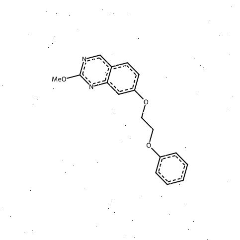 COc1ncc2ccc(OCCOc3ccccc3)cc2n1